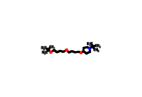 CC(C)(C)OCCCCOCCCCOC1CCN(C(C)(C)C)CC1